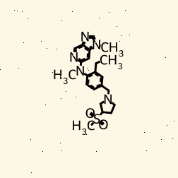 CCc1cc(CN2CCC(S(C)(=O)=O)C2)ccc1N(C)c1cc2c(cn1)ncn2C